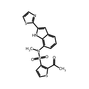 CC(=O)c1sccc1S(=O)(=O)N(C)c1cccc2cc(-c3nccs3)[nH]c12